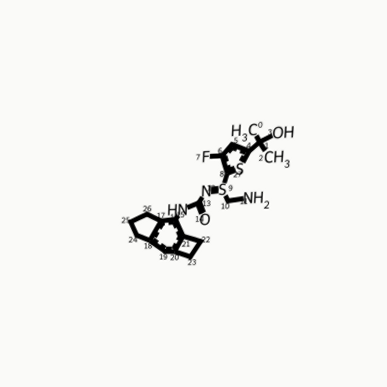 CC(C)(O)c1cc(F)c(/S(CN)=N/C(=O)Nc2c3c(cc4c2CC4)CCC3)s1